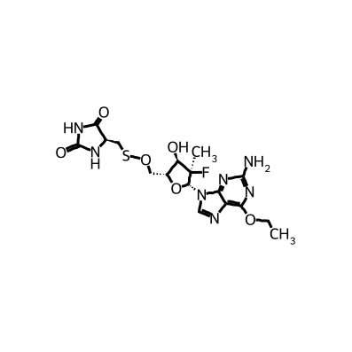 CCOc1nc(N)nc2c1ncn2[C@@H]1O[C@H](COSC[C@H]2NC(=O)NC2=O)[C@@H](O)[C@@]1(C)F